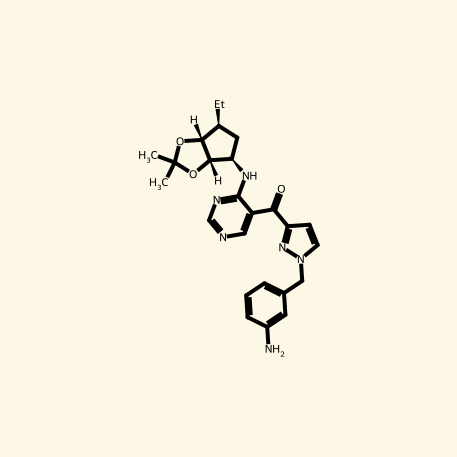 CC[C@H]1C[C@@H](Nc2ncncc2C(=O)c2ccn(Cc3cccc(N)c3)n2)[C@@H]2OC(C)(C)O[C@H]12